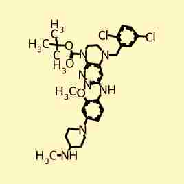 CNC1CCN(c2ccc(Nc3cc4c(nn3)N(C(=O)OC(C)(C)C)CCN4Cc3cc(Cl)ccc3Cl)c(OC)c2)CC1